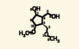 COC[C@H]1C(CO)[C@H](O)C[C@@H]1OC